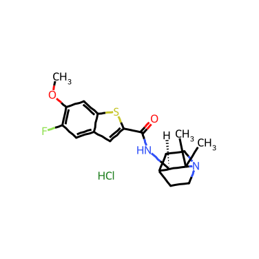 COc1cc2sc(C(=O)N[C@@H]3C4CCN(CC4)C3(C)C)cc2cc1F.Cl